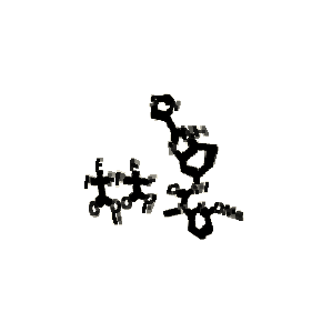 COc1cccc(N(C)C(=O)Nc2ccc3[nH]c(-c4cscn4)nc3c2)n1.O=C(O)C(F)(F)F.O=C(O)C(F)(F)F